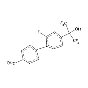 O=Cc1ccc(-c2ccc(C(O)(C(F)(F)F)C(F)(F)F)cc2F)cc1